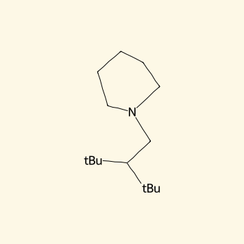 CC(C)(C)C(CN1CCCCC1)C(C)(C)C